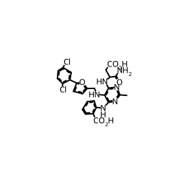 Cc1nc(Nc2ccccc2C(=O)O)c(NCc2ccc(-c3cc(Cl)ccc3Cl)o2)c(NC(CC(=O)O)C(N)=O)n1